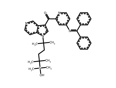 CC(C)(CCC(C)(C)[Si](C)(C)O)n1cc(C(=O)c2cc(N=C(c3ccccc3)c3ccccc3)ccn2)c2cnccc21